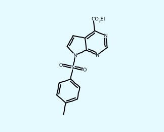 CCOC(=O)c1ncnc2c1ccn2S(=O)(=O)c1ccc(C)cc1